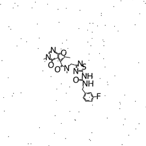 Cc1oc2ncn(C)c(=O)c2c1C(=O)N(C)Cc1nsc(NC(=O)NCc2cccc(F)c2)n1